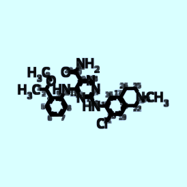 COC(C)c1ccccc1Nc1nc(Nc2cc3c(cc2Cl)CN(C)CC3)nnc1C(N)=O